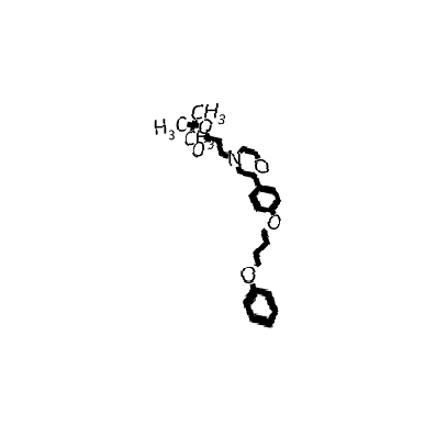 CC(C)(C)OC(=O)CCN1CCOC(c2ccc(OCCCCOc3ccccc3)cc2)C1